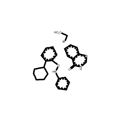 O=C(O)CBr.O=c1[nH]cnc2ccccc12.c1ccc(NOc2ccccc2C2CCCCC2)cc1